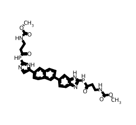 COC(=O)NCCC(=O)Pc1ncc(-c2ccc3cc(-c4ccc5nc(PC(=O)CCNC(=O)OC)[nH]c5c4)ccc3c2)[nH]1